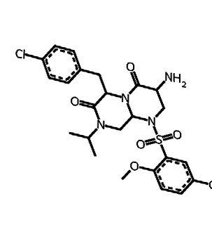 COc1ccc(OC)c(S(=O)(=O)N2CC(N)C(=O)N3C(Cc4ccc(Cl)cc4)C(=O)N(C(C)C)CC32)c1